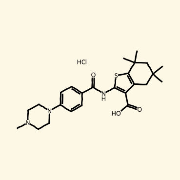 CN1CCN(c2ccc(C(=O)Nc3sc4c(c3C(=O)O)CC(C)(C)CC4(C)C)cc2)CC1.Cl